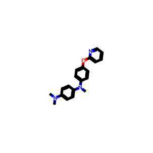 CN(C)c1ccc(N(C)c2ccc(Oc3ccccn3)cc2)cc1